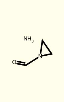 N.O=CN1CC1